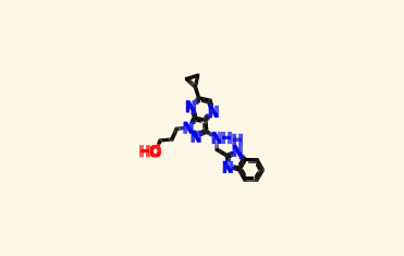 OCCCn1nc(NCc2nc3ccccc3[nH]2)c2ncc(C3CC3)nc21